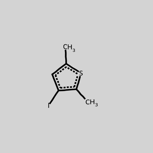 Cc1cc(I)c(C)s1